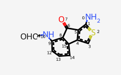 Nc1scc2c1C(=O)c1c(NC=O)cccc1-2